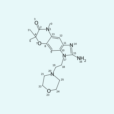 CN1C(=O)C(C)(C)Oc2cc3c(cc21)nc(N)n3CCN1CCOCC1